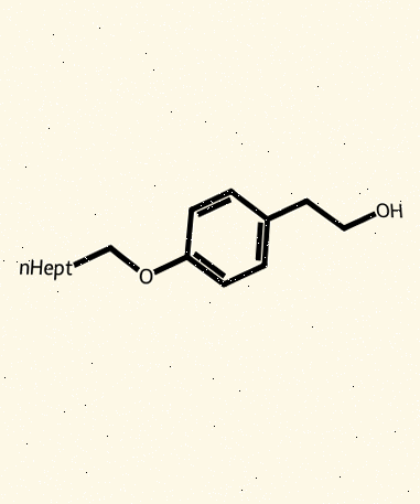 CCCCCCCCOc1ccc(CCO)cc1